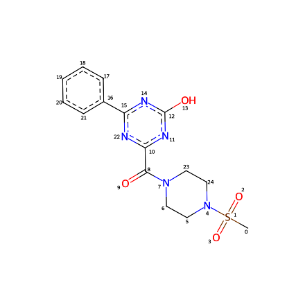 CS(=O)(=O)N1CCN(C(=O)c2nc(O)nc(-c3ccccc3)n2)CC1